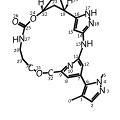 Cc1cnn(C)c1-c1cc2nc(c1)Nc1cc([nH]n1)[C@H]1CC[C@H](C1)OC(=O)NCCCOC2